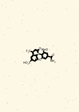 COc1cc(C(N)=O)cc(OC)c1-n1c(=O)cc(C(F)(F)F)c2cc(S(=O)(=O)O)ccc21